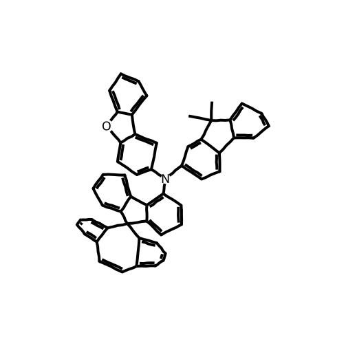 CC1(C)c2ccccc2-c2ccc(N(c3ccc4oc5ccccc5c4c3)c3cccc4c3-c3ccccc3C43c4ccccc4C=Cc4ccccc43)cc21